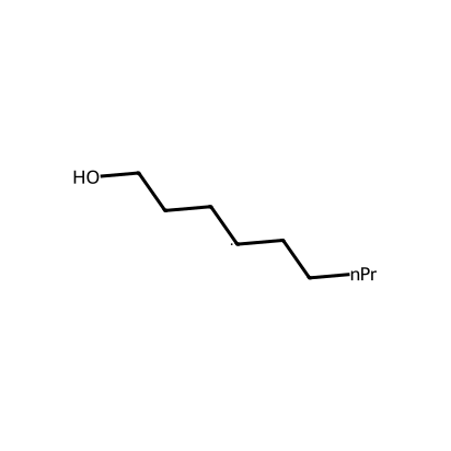 CCCCC[CH]CCCO